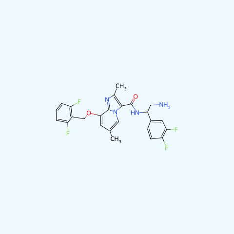 Cc1cc(OCc2c(F)cccc2F)c2nc(C)c(C(=O)NC(CN)c3ccc(F)c(F)c3)n2c1